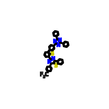 FC(F)(F)c1ccc(-c2nc(-c3cccc4c3sc3cc(-c5nc(-c6ccccc6)nc(-c6ccccc6)n5)ccc34)nc3c2sc2ccccc23)cc1